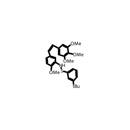 COc1ccc(/C=C\c2cc(OC)c(OC)c(OC)c2)cc1NSc1cccc(C(C)(C)C)c1